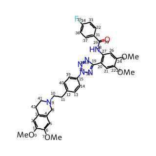 COc1cc2c(cc1OC)CN(CCc1ccc(-n3nnc(-c4cc(OC)c(OC)cc4NC(=O)c4ccc(F)cc4)n3)cc1)CC2